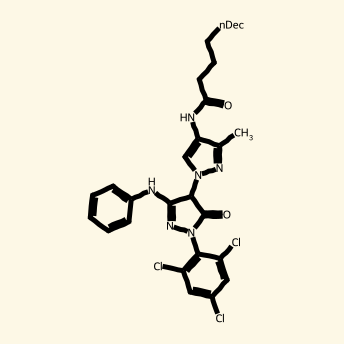 CCCCCCCCCCCCCC(=O)Nc1cn(C2C(=O)N(c3c(Cl)cc(Cl)cc3Cl)N=C2Nc2ccccc2)nc1C